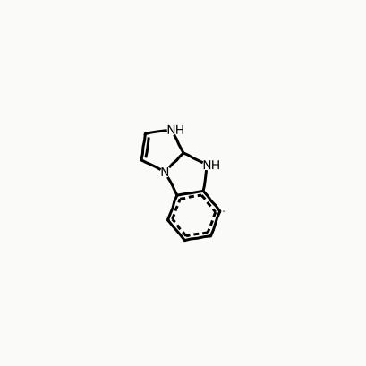 [c]1cccc2c1NC1NC=CN21